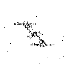 CCCCCCCCC(O)CN(CCCSSCCN1CC(C)N(CCSSCCCN(CC(O)CCCCCCCC)CC(O)CCCCCCCC)CC1C)CC(O)CCCCCCC